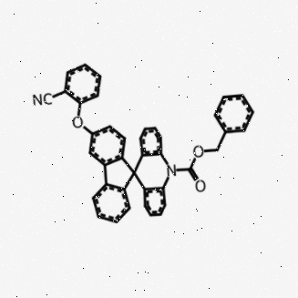 N#Cc1ccccc1Oc1ccc2c(c1)-c1ccccc1C21c2ccccc2N(C(=O)OCc2ccccc2)c2ccccc21